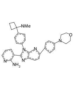 CNC1(c2ccc(-n3c(-c4cccnc4N)nc4ccc(-c5ccc(N6CCOCC6)cc5)nc43)cc2)CCC1